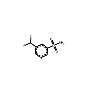 NS(=O)(=O)c1cncc(C(F)F)c1